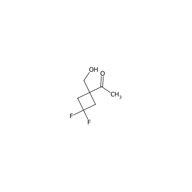 CC(=O)C1(CO)CC(F)(F)C1